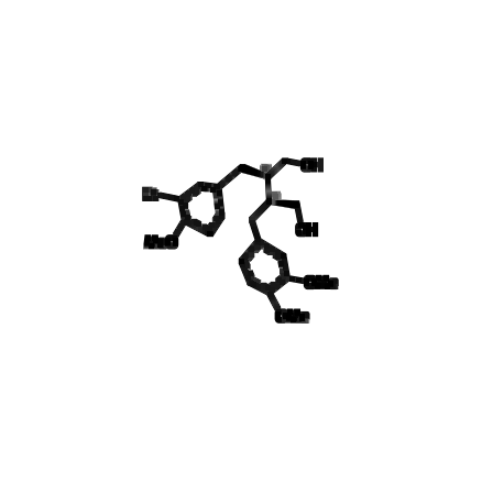 CCc1cc(C[C@@H](CO)[C@@H](CO)Cc2ccc(OC)c(OC)c2)ccc1OC